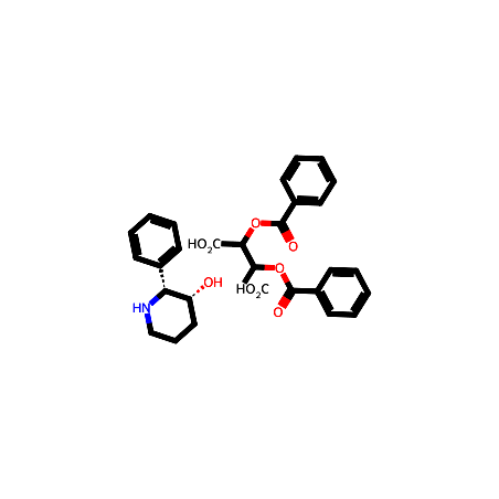 O=C(OC(C(=O)O)C(OC(=O)c1ccccc1)C(=O)O)c1ccccc1.O[C@@H]1CCCN[C@@H]1c1ccccc1